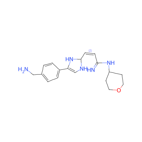 N=C(/C=C\C1NC=C(c2ccc(CN)cc2)N1)NC1CCOCC1